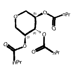 CCCC(=O)O[C@@H]1[C@@H](OC(=O)CCC)COC[C@H]1OC(=O)CCC